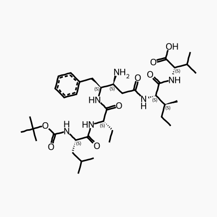 CC[C@H](NC(=O)[C@H](CC(C)C)NC(=O)OC(C)(C)C)C(=O)N[C@@H](Cc1ccccc1)[C@@H](N)CC(=O)N[C@H](C(=O)N[C@H](C(=O)O)C(C)C)[C@@H](C)CC